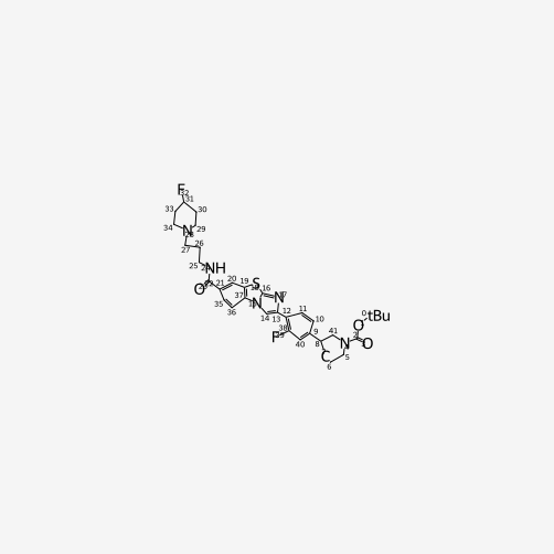 CC(C)(C)OC(=O)N1CCCC(c2ccc(-c3cn4c(n3)sc3cc(C(=O)NCCCN5CCC(F)CC5)ccc34)c(F)c2)C1